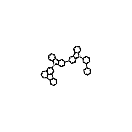 c1ccc(-c2cccc(-n3c4ccccc4c4cc(-c5ccc6c(c5)c5ccccc5n6-c5cc6c7c(cccc7c5)-c5ccccc5-6)ccc43)c2)cc1